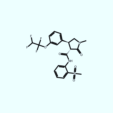 CN1C[C@H](c2cccc(OC(F)(F)C(F)F)c2)[C@@H](C(=O)Nc2ccccc2S(C)(=O)=O)C1=O